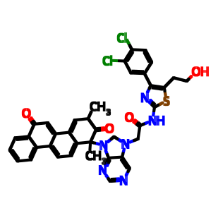 CC1C=c2c(ccc3c2=CC(=O)c2ccccc2-3)C(C)(N2CN(CC(=O)Nc3nc(-c4ccc(Cl)c(Cl)c4)c(CCO)s3)c3cncnc32)C1=O